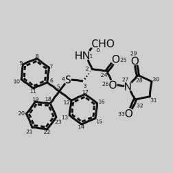 O=CN[C@@H](CSC(c1ccccc1)(c1ccccc1)c1ccccc1)C(=O)ON1C(=O)CCC1=O